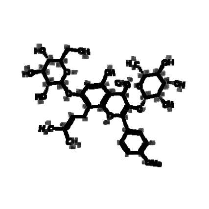 COc1ccc(C2=C(O[C@@H]3O[C@H](C)[C@@H](O)[C@H](O)[C@@H]3O)C(C=O)c3c(O)cc(O[C@@H]4O[C@H](CO)[C@@H](O)[C@H](O)[C@H]4O)c(CC=C(C)C)c3O2)cc1